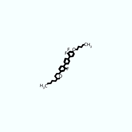 CCCCCOc1ccc(-c2ccc(-c3ccc(C4CCC(CCCCC)CO4)cc3F)cc2)c(F)c1F